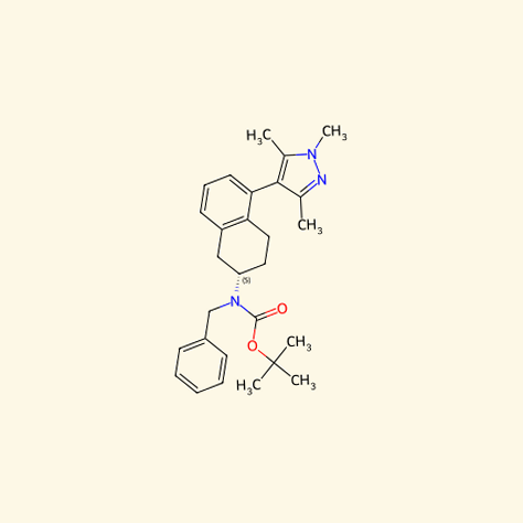 Cc1nn(C)c(C)c1-c1cccc2c1CC[C@H](N(Cc1ccccc1)C(=O)OC(C)(C)C)C2